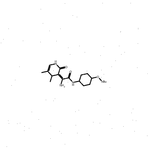 CCCCOC1CCC(NC(=O)/C(N)=C2\C(=O)NC=C(C)C2C)CC1